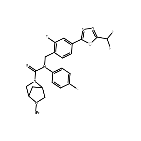 CC(C)N1CC2CC1CN2C(=S)N(Cc1ccc(-c2nnc(C(F)F)o2)cc1F)c1ccc(F)cc1